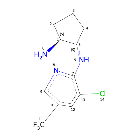 N[C@H]1CCC[C@@H]1Nc1ncc(C(F)(F)F)cc1Cl